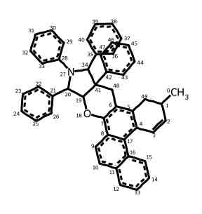 CC1C=Cc2c(c3c(c4ccc5ccccc5c24)OC2C(c4ccccc4)N(c4ccccc4)C(c4ccccc4)C2(c2ccccc2)C3)C1